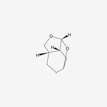 [CH]1C[C@@H]2CO[C@@H]3OC1C[C@H]23